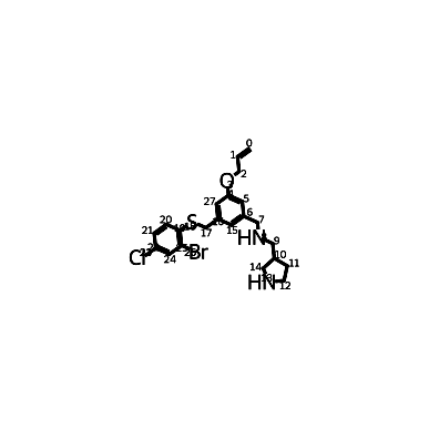 C=CCOc1cc(CNCC2CCNC2)cc(CSc2ccc(Cl)cc2Br)c1